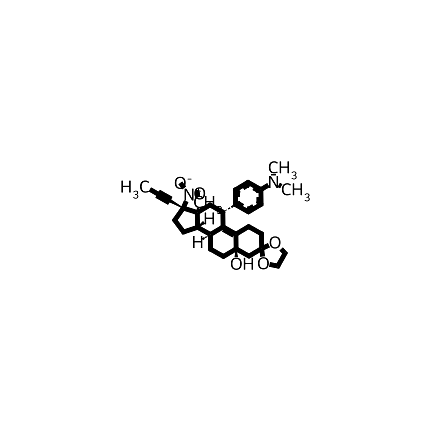 CC#C[C@]1([N+](=O)[O-])CC[C@H]2[C@@H]3CC[C@@]4(O)CC5(CCC4=C3[C@@H](c3ccc(N(C)C)cc3)C[C@@]21C)OCCO5